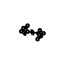 c1ccc2c(c1)-c1ccccc1C21c2ccc(-c3cnc(-c4ccc5c(c4)-n4c6ccccc6c6cccc(c64)C54c5ccccc5-c5ccccc54)cn3)cc2-n2c3ccccc3c3cccc1c32